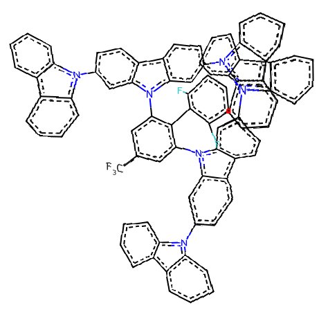 Fc1cccc(F)c1-c1c(-n2c3cc(-n4c5ccccc5c5ccccc54)ccc3c3ccc(-n4c5ccccc5c5ccccc54)cc32)cc(C(F)(F)F)cc1-n1c2cc(-n3c4ccccc4c4ccccc43)ccc2c2ccc(-n3c4ccccc4c4ccccc43)cc21